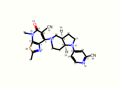 Cc1nc2c(N3CC[C@H]4[C@H](CCN4c4ccnc(C#N)c4)C3)c(C#N)c(=O)n(C)c2s1